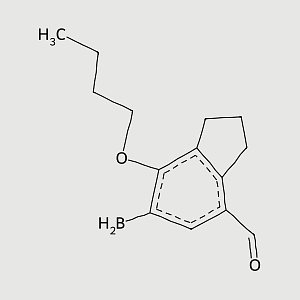 Bc1cc(C=O)c2c(c1OCCCC)CCC2